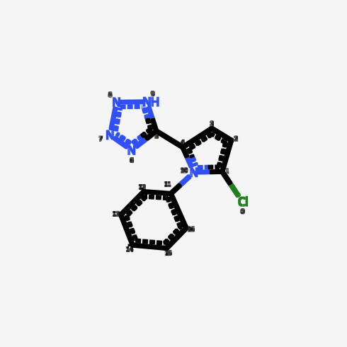 Clc1ccc(-c2nnn[nH]2)n1-c1cc[c]cc1